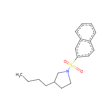 CCCCC1CCN(S(=O)(=O)c2ccc3ccccc3c2)C1